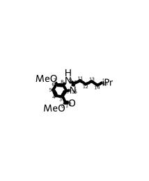 COC(=O)c1ccc(OC)c2[nH]c(CCCCC(C)C)nc12